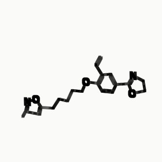 C=Cc1cc(C2=NCCO2)ccc1OCCCCCc1cc(C)no1